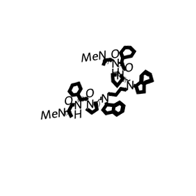 CN[C@@H](C)C(=O)N[C@H](C(=O)N1CCC[C@H]1CN(CCCCN(C[C@@H]1CCCN1C(=O)[C@@H](NC(=O)[C@H](C)NC)C1CCCCC1)C1CCc2ccccc21)C1CCc2ccccc21)C1CCCCC1